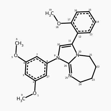 COc1cc(OC)cc(N2C=C(c3ccccc3OC)N3CCCCN=C32)c1